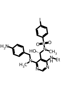 CCNc1ncnc(N(C)Cc2ccc(N)cc2)c1[C@H](O)N(C)S(=O)(=O)c1ccc(I)cc1